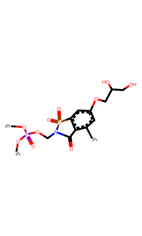 CC(C)OP(=O)(OCN1C(=O)c2c(C(C)C)cc(OCC(O)CO)cc2S1(=O)=O)OC(C)C